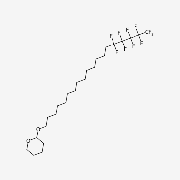 FC(F)(F)C(F)(F)C(F)(F)C(F)(F)C(F)(F)CCCCCCCCCCCCCCOC1CCCCO1